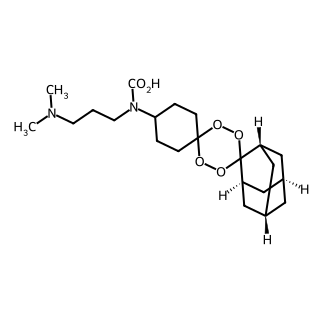 CN(C)CCCN(C(=O)O)C1CCC2(CC1)OOC1(OO2)[C@H]2C[C@@H]3C[C@@H](C[C@H]1C3)C2